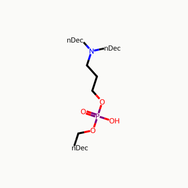 CCCCCCCCCCCOP(=O)(O)OCCCN(CCCCCCCCCC)CCCCCCCCCC